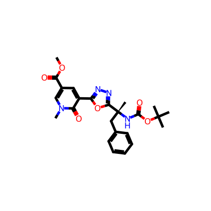 COC(=O)c1cc(-c2nnc([C@@](C)(Cc3ccccc3)NC(=O)OC(C)(C)C)o2)c(=O)n(C)c1